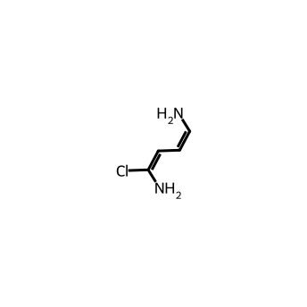 N/C=C\C=C(/N)Cl